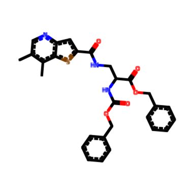 Cc1cnc2cc(C(=O)NCC(NC(=O)OCc3ccccc3)C(=O)OCc3ccccc3)sc2c1C